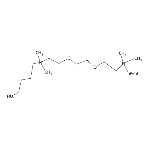 CCCCC[N+](C)(C)CCOCCOCC[N+](C)(C)CCCCO